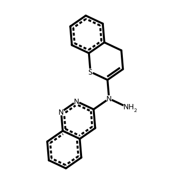 NN(C1=CCc2ccccc2S1)c1cc2ccccc2nn1